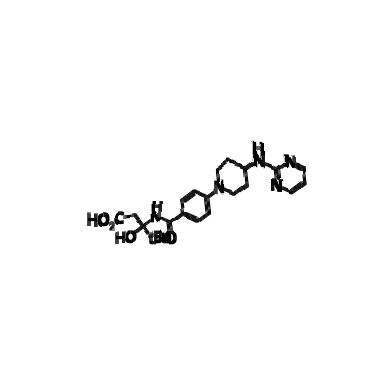 CC(C)(C)C(O)(CC(=O)O)NC(=O)c1ccc(N2CCC(Nc3ncccn3)CC2)cc1